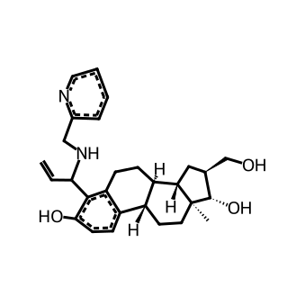 C=CC(NCc1ccccn1)c1c(O)ccc2c1CC[C@@H]1[C@@H]2CC[C@]2(C)[C@@H](O)[C@H](CO)C[C@@H]12